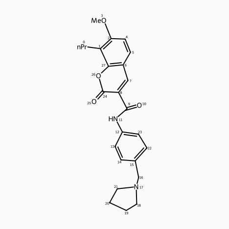 CCCc1c(OC)ccc2cc(C(=O)Nc3ccc(CN4CCCC4)cc3)c(=O)oc12